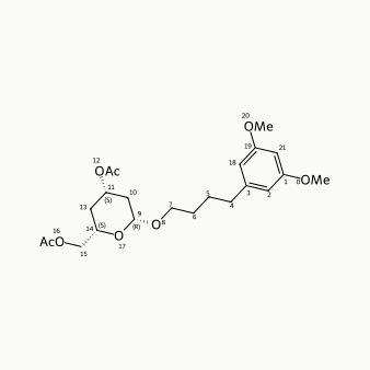 COc1cc(CCCCO[C@H]2C[C@@H](OC(C)=O)C[C@@H](COC(C)=O)O2)cc(OC)c1